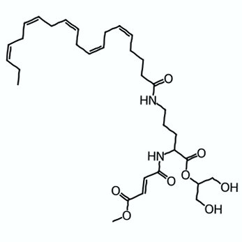 CC/C=C\C/C=C\C/C=C\C/C=C\C/C=C\CCCC(=O)NCCCC(NC(=O)/C=C/C(=O)OC)C(=O)OC(CO)CO